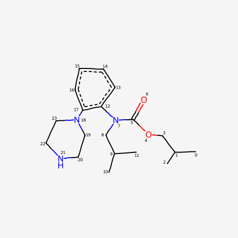 CC(C)COC(=O)N(CC(C)C)c1ccccc1N1CCNCC1